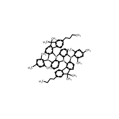 CCCCc1ccc2c(c1)C(C)(C)c1ccc3c(c1-2)N1c2cccc4c2N(c2cccc(c21)B3c1c(C)cc(C)cc1C)c1c(ccc2c1-c1ccc(CCCC)cc1C2(C)C)B4c1c(C)cc(C)cc1C